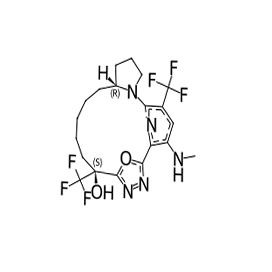 CNc1cc(C(F)(F)F)c2nc1-c1nnc(o1)[C@](O)(C(F)(F)F)CCCCC[C@@H]1CCCN21